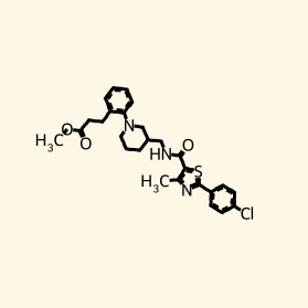 COC(=O)CCc1ccccc1N1CCCC(CNC(=O)c2sc(-c3ccc(Cl)cc3)nc2C)C1